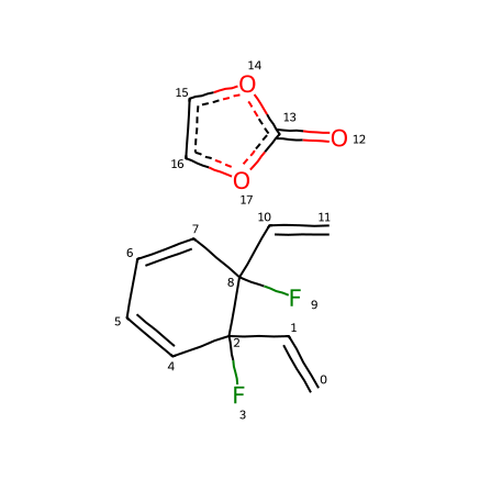 C=CC1(F)C=CC=CC1(F)C=C.O=c1occo1